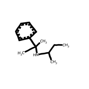 CCC(C)NC(C)(C)c1ccccc1